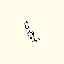 CN(C1CC1)C1CCC2=CC3=CCC4(C)C(c5ccc6ccncc6c5)CC[C@H]4[C@@]34CC[C@]2(C1)O4